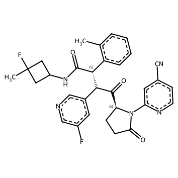 Cc1ccccc1[C@@H](C(=O)NC1CC(C)(F)C1)C(C(=O)[C@@H]1CCC(=O)N1c1cc(C#N)ccn1)c1cncc(F)c1